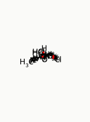 CN1CCN(CCCCN2C(=O)NC(/N=C/c3ccc(-c4ccc(Cl)cc4)o3)C2=O)CC1.Cl.Cl